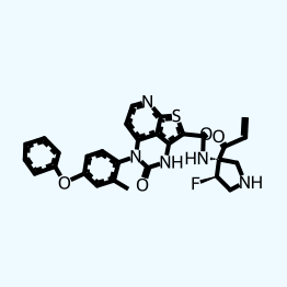 C=CC(=O)[C@@]1(NC(=O)c2sc3nccc4c3c2NC(=O)N4c2ccc(Oc3ccccc3)cc2C)CNC[C@H]1F